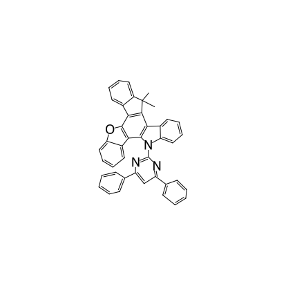 CC1(C)c2ccccc2-c2c1c1c3ccccc3n(-c3nc(-c4ccccc4)cc(-c4ccccc4)n3)c1c1c2oc2ccccc21